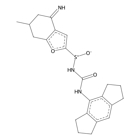 CC1CC(=N)c2cc([S+]([O-])NC(=O)Nc3c4c(cc5c3CCC5)CCC4)oc2C1